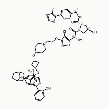 Cc1ncsc1-c1ccc([C@H](C)NC(=O)[C@@H]2C[C@@H](O)CN2C(=O)[C@@H](c2onc(OCCN3CCC(O[C@H]4C[C@H](Oc5cc(N6C7CCC6CN(c6cc(-c8ccccc8O)nnc6N)C7)ccn5)C4)CC3)c2Cl)C(C)C)cc1